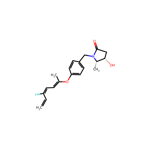 C=C/C(F)=C\C=C(/C)Oc1ccc(CN2C(=O)C[C@H](O)[C@@H]2C)cc1